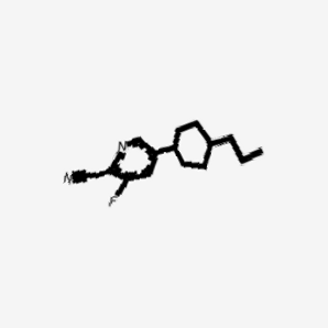 CCCC1CCC(c2cnc(C#N)c(F)c2)CC1